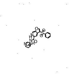 O=C(N[C@H]1CN2CCC1CC2)c1cc2c(S(=O)(=O)c3ccccc3)coc2cn1